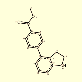 COC(=O)c1ccc(-c2cccc3c2CCN3)cc1